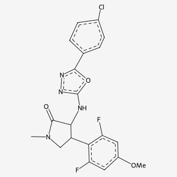 COc1cc(F)c(C2CN(C)C(=O)C2Nc2nnc(-c3ccc(Cl)cc3)o2)c(F)c1